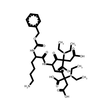 CCN(CC)C(CC(=O)O)(C(=O)O)C(=O)CC(NC(=O)C(CCCCN)NC(=O)OCc1ccccc1)C(=O)C(CC(=O)O)(C(=O)O)N(CC)CC